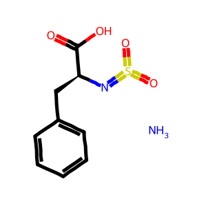 N.O=C(O)[C@H](Cc1ccccc1)N=S(=O)=O